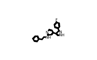 Fc1ccc(-c2n[nH]cc2-c2ccnc(NCCc3ccccc3)c2)cc1